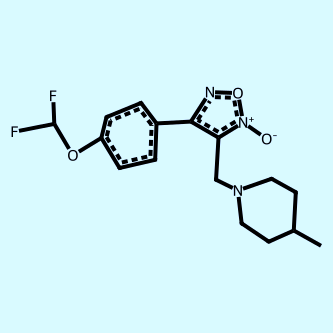 CC1CCN(Cc2c(-c3ccc(OC(F)F)cc3)no[n+]2[O-])CC1